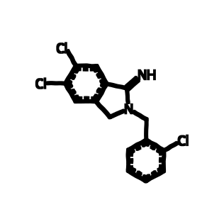 N=C1c2cc(Cl)c(Cl)cc2CN1Cc1ccccc1Cl